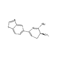 C[C@H]1CC=C(c2ccc3scnc3c2)N=C1C(C)(C)C